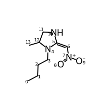 CCCCN1C(=C[N+](=O)[O-])NCC1C